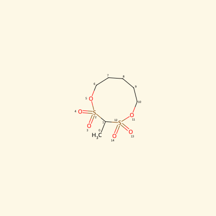 CC1S(=O)(=O)OCCCCCOS1(=O)=O